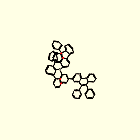 c1ccc(-c2cccc(-c3ccccc3)c2N(c2cccc(-c3ccc4c(c3)c(-c3ccccc3)c(-c3ccccc3)c3ccccc34)c2)c2ccc3c(c2)C(c2ccccc2)(c2ccccc2)c2ccccc2-3)cc1